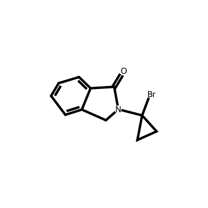 O=C1c2ccccc2CN1C1(Br)CC1